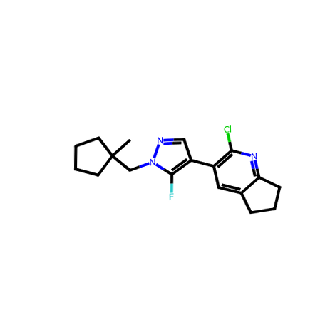 CC1(Cn2ncc(-c3cc4c(nc3Cl)CCC4)c2F)CCCC1